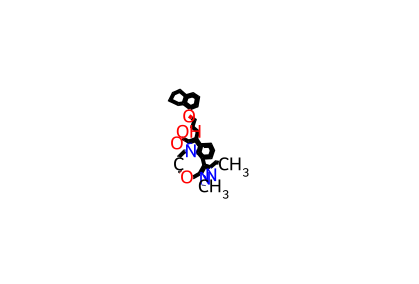 CCc1nn(C)c2c1-c1cccc3c(CCCOc4cccc5c4CCCC5)c(C(=O)O)n(c13)CCCCOC2